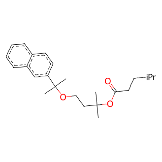 CC(C)CCC(=O)OC(C)(C)CCOC(C)(C)c1ccc2ccccc2c1